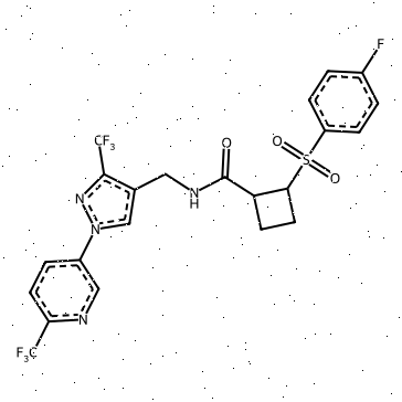 O=C(NCc1cn(-c2ccc(C(F)(F)F)nc2)nc1C(F)(F)F)C1CCC1S(=O)(=O)c1ccc(F)cc1